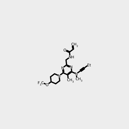 C=CC(=O)NCc1nc(N(C)C#CCC)c(C)c(N2CCC(OC(F)(F)F)CC2)n1